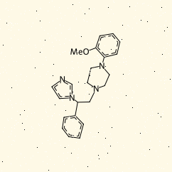 COc1ccccc1N1CCN(CC(c2ccccc2)n2ccnc2)CC1